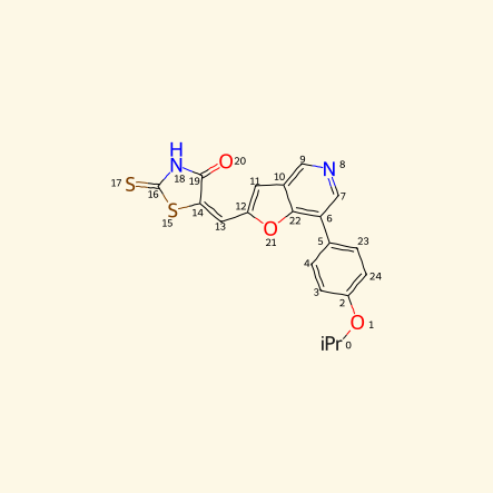 CC(C)Oc1ccc(-c2cncc3cc(/C=C4/SC(=S)NC4=O)oc23)cc1